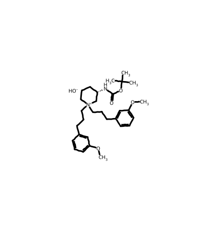 COc1cccc(CCC[N+]2(CCCc3cccc(OC)c3)CCC[C@H](NC(=O)OC(C)(C)C)C2)c1.[OH-]